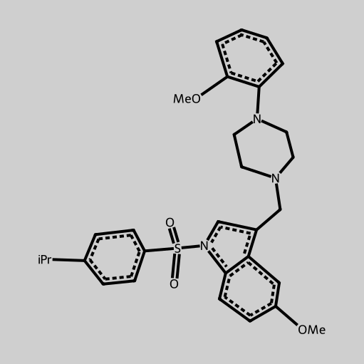 COc1ccc2c(c1)c(CN1CCN(c3ccccc3OC)CC1)cn2S(=O)(=O)c1ccc(C(C)C)cc1